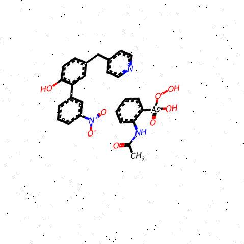 CC(=O)Nc1ccccc1[As](=O)(O)OO.O=[N+]([O-])c1cccc(-c2cc(Cc3ccncc3)ccc2O)c1